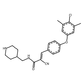 Cc1cc(Oc2ccc(/C=C(\C#N)C(=O)NCC3CCNCC3)cc2)cc(C)c1Cl